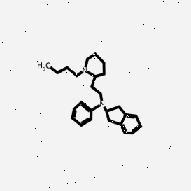 CCCCN1CCCCC1CCN(c1ccccc1)C1Cc2ccccc2C1